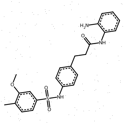 COc1cc(S(=O)(=O)Nc2ccc(CCC(=O)Nc3ccccc3N)cc2)ccc1C